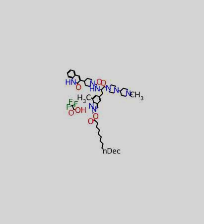 CCCCCCCCCCCCCCCCCCC(=O)OCn1cc2cc(CC(NC(=O)N3CCC(c4cc5ccccc5[nH]c4=O)CC3)C(=O)N3CCN(C4CCN(C)CC4)CC3)cc(C)c2n1.O=C(O)C(F)(F)F